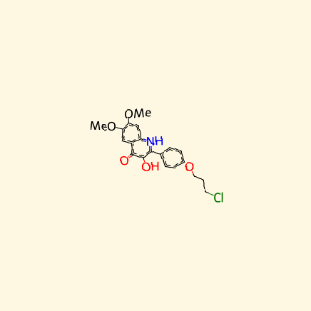 COc1cc2[nH]c(-c3ccc(OCCCCl)cc3)c(O)c(=O)c2cc1OC